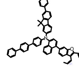 C=Cc1oc2cc(-c3ccc(N(c4ccc(-c5ccc(-c6ccccc6)cc5)cc4)c4ccc5c(c4)C(C)(C)c4cc(-c6ccccc6)ccc4-5)c4ccccc34)ccc2c1/C=C\C